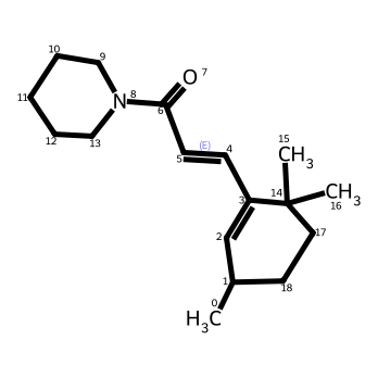 CC1C=C(/C=C/C(=O)N2CCCCC2)C(C)(C)CC1